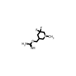 CN1CC(COC(=N)N)CC(F)(F)C1